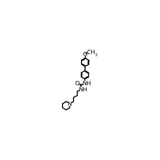 COc1ccc(-c2ccc(NC(=O)NCCCCN3CCCCC3)cc2)cc1